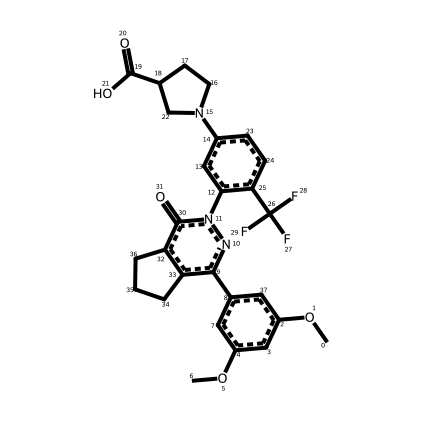 COc1cc(OC)cc(-c2nn(-c3cc(N4CCC(C(=O)O)C4)ccc3C(F)(F)F)c(=O)c3c2CCC3)c1